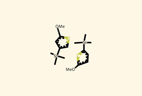 COc1c[c]([Sn]([CH3])([CH3])[CH3])cs1.COc1cc[c]([Sn]([CH3])([CH3])[CH3])s1